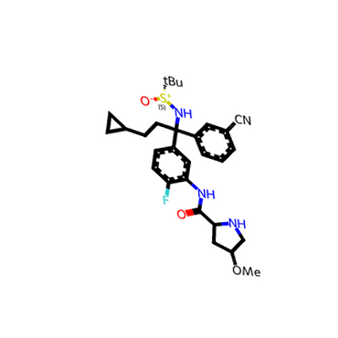 COC1CNC(C(=O)Nc2cc(C(CCC3CC3)(N[S@+]([O-])C(C)(C)C)c3cccc(C#N)c3)ccc2F)C1